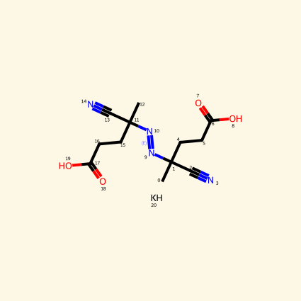 CC(C#N)(CCC(=O)O)/N=N/C(C)(C#N)CCC(=O)O.[KH]